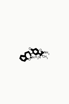 C[C@](N)(C(N)=O)C1=CC([C@@H]2CCc3ccccc3ON2)C(=O)C=C1